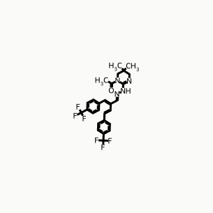 CC(=O)N1CC(C)(C)CN=C1NN=CC(C=Cc1ccc(C(F)(F)F)cc1)=Cc1ccc(C(F)(F)F)cc1